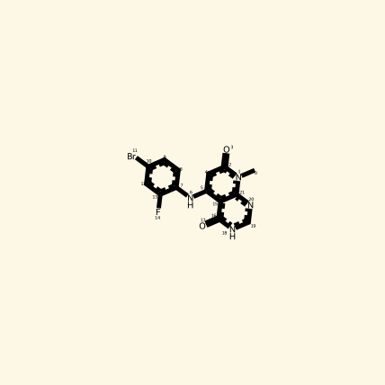 Cn1c(=O)cc(Nc2ccc(Br)cc2F)c2c(=O)[nH]cnc21